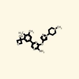 Cc1cc(-c2cnc(N)c(Oc3cnn(C4CCN(C)CC4)c3)n2)cc(C2(O)COC2)c1C